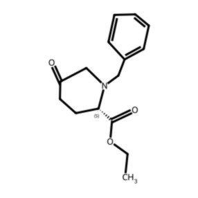 CCOC(=O)[C@@H]1CCC(=O)CN1Cc1ccccc1